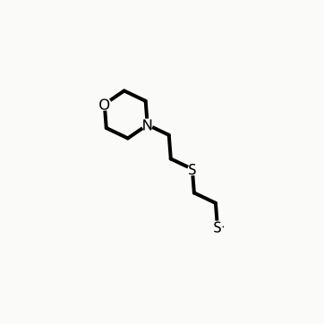 [S]CCSCCN1CCOCC1